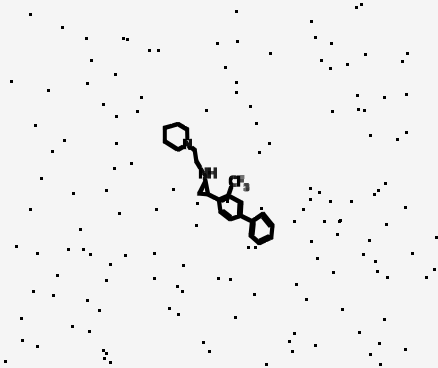 FC(F)(F)c1cc(-c2ccccc2)ccc1C1CC1NCCN1CCCCC1